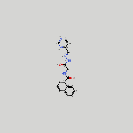 O=C(CNC(=O)c1cccc2ccccc12)N/N=C/c1ccncn1